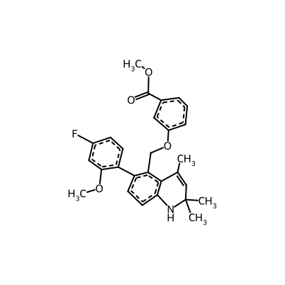 COC(=O)c1cccc(OCc2c(-c3ccc(F)cc3OC)ccc3c2C(C)=CC(C)(C)N3)c1